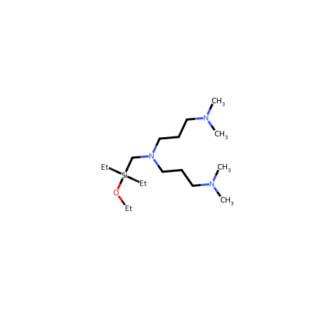 CCO[Si](CC)(CC)CN(CCCN(C)C)CCCN(C)C